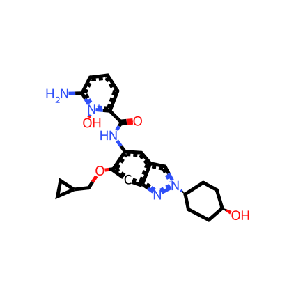 Nc1cccc(C(=O)Nc2cc3cn([C@H]4CC[C@H](O)CC4)nc3cc2OCC2CC2)[n+]1O